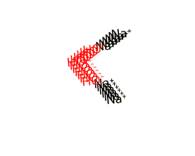 [Na+].[Na+].[Na+].[Na+].[Na+].[Na+].[Na+].[Na+].[Na+].[Na+].[Na+].[Na+].[OH-].[OH-].[OH-].[OH-].[OH-].[OH-].[OH-].[OH-].[OH-].[OH-].[OH-].[OH-]